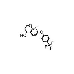 OC1CCOc2nc(Oc3ccc(C(F)(F)F)cc3)ccc21